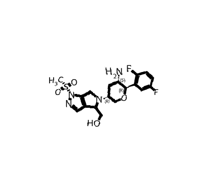 CS(=O)(=O)n1ncc2c1CN([C@H]1CO[C@H](c3cc(F)ccc3F)[C@@H](N)C1)C2CO